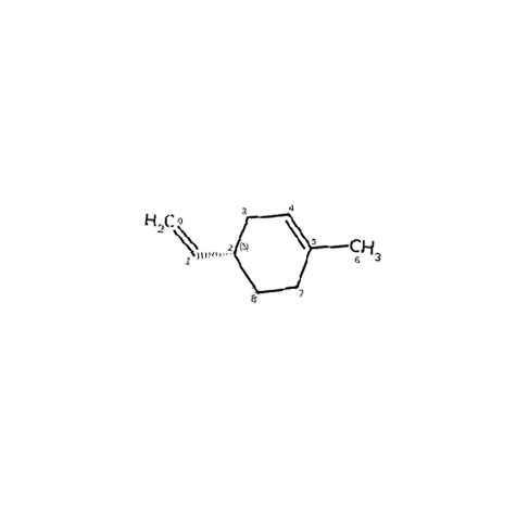 C=C[C@@H]1CC=C(C)CC1